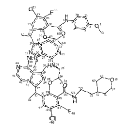 COc1ccc(NC(=O)c2c(F)c(Cl)cc(C(C)c3nc(C)c4c(NCC(C)Oc5c(C(C)c6nc(C)c7c(N)nccn67)cc(Cl)c(F)c5C(=O)NCCC5CCOCC5)nccn34)c2OC(C)C)cc1